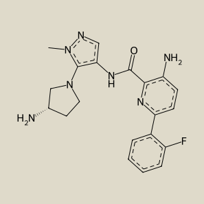 Cn1ncc(NC(=O)c2nc(-c3ccccc3F)ccc2N)c1N1CC[C@H](N)C1